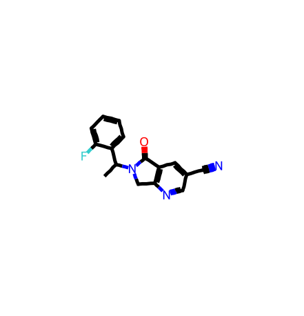 CC(c1ccccc1F)N1Cc2ncc(C#N)cc2C1=O